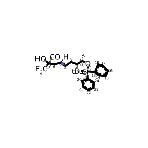 C[C@@H](CC/C=C/C[C@@](O)(C(=O)O)C(F)(F)F)O[Si](c1ccccc1)(c1ccccc1)C(C)(C)C